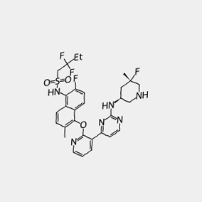 CCC(F)(F)CS(=O)(=O)Nc1c(F)ccc2c(Oc3ncccc3-c3ccnc(N[C@@H]4CNC[C@@](C)(F)C4)n3)c(C)ccc12